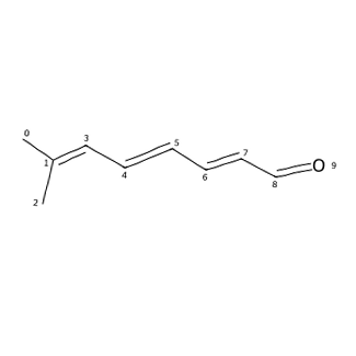 CC(C)=CC=CC=CC=O